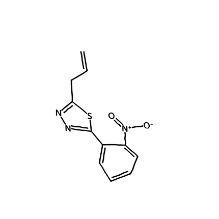 C=CCc1nnc(-c2ccccc2[N+](=O)[O-])s1